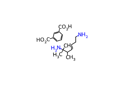 CC(CCCCN)C(C)(C)N.O=C(O)c1cccc(C(=O)O)c1